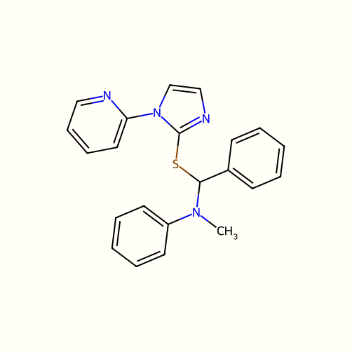 CN(c1ccccc1)C(Sc1nccn1-c1ccccn1)c1ccccc1